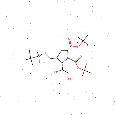 CC(C)(C)OC(=O)[C@H]1CC(CO[Si](C)(C)C(C)(C)C)[C@H](C(O)CO)N1C(=O)OC(C)(C)C